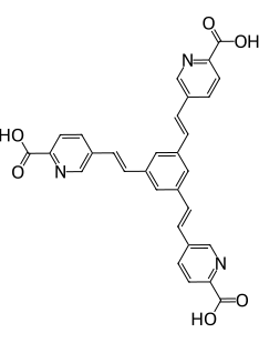 O=C(O)c1ccc(/C=C/c2cc(/C=C/c3ccc(C(=O)O)nc3)cc(/C=C/c3ccc(C(=O)O)nc3)c2)cn1